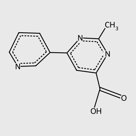 Cc1nc(C(=O)O)cc(-c2cccnc2)n1